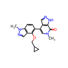 Cn1cc(-c2ccc3c(cnn3C)c2OCC2CC2)c2cn[nH]c2c1=O